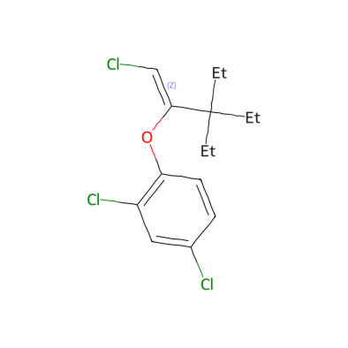 CCC(CC)(CC)/C(=C/Cl)Oc1ccc(Cl)cc1Cl